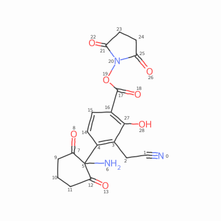 N#CCc1c(C2(N)C(=O)CCCC2=O)ccc(C(=O)ON2C(=O)CCC2=O)c1O